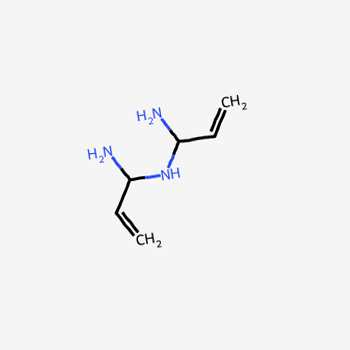 C=CC(N)NC(N)C=C